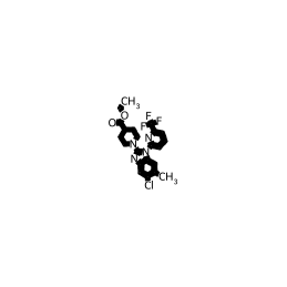 CCOC(=O)C1CCN(c2nc3cc(Cl)c(C)cc3n2-c2cccc(C(F)(F)F)n2)CC1